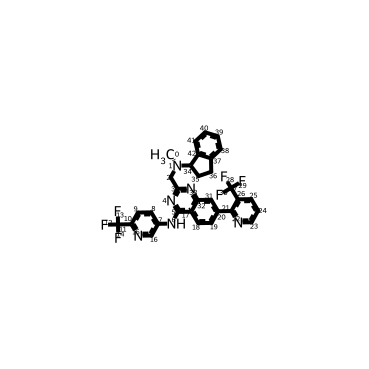 CN(Cc1nc(Nc2ccc(C(F)(F)F)nc2)c2ccc(-c3ncccc3C(F)(F)F)cc2n1)C1CCc2ccccc21